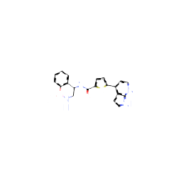 COc1ccccc1C(CN)NC(=O)c1ccc(-c2ccnc3[nH]ccc23)s1